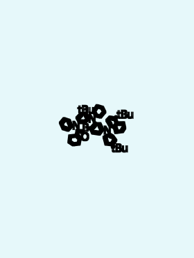 CC(C)(C)c1ccc(N(c2ccc3c(c2)N(C2CCCCC2)c2cc(C(C)(C)C)cc4c2B3c2oc3c(c2N4c2ccccc2)CCCC3)c2ccc(C(C)(C)C)c3ccccc23)cc1